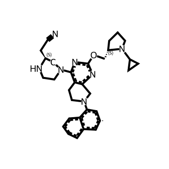 N#CC[C@H]1CN(c2nc(OC[C@@H]3CCCN3C3CC3)nc3c2CCN(c2c[c]cc4ccccc24)C3)CCN1